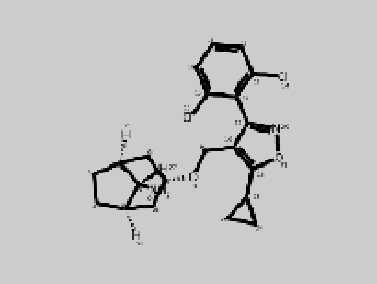 N[C@@H]1[C@@H]2CC[C@H]1C[C@H](OCc1c(-c3c(Cl)cccc3Cl)noc1C1CC1)C2